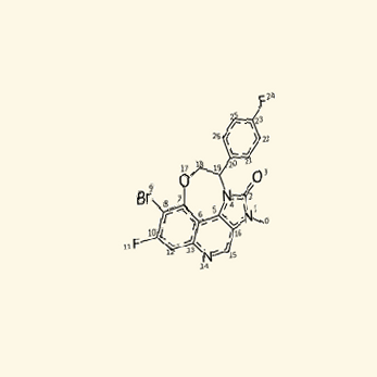 Cn1c(=O)n2c3c4c(c(Br)c(F)cc4ncc31)OCC2c1ccc(F)cc1